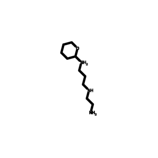 NCCNCCC[SiH2]C1CCCCO1